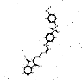 CCOc1ccc(NS(=O)(=O)c2ccc(N/N=C\CCCN3C(=O)c4ccccc4C3=O)cc2)cc1